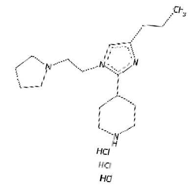 CCCc1cn(CCN2CCCC2)c(C2CCNCC2)n1.Cl.Cl.Cl